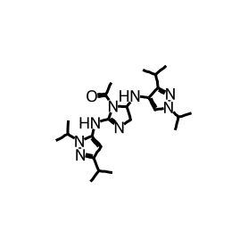 CC(=O)N1C(Nc2cc(C(C)C)nn2C(C)C)=NCC1Nc1cn(C(C)C)nc1C(C)C